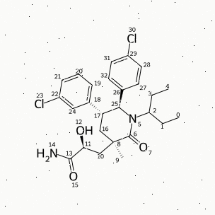 CCC(CC)N1C(=O)[C@@](C)(C[C@H](O)C(N)=O)C[C@H](c2cccc(Cl)c2)[C@H]1c1ccc(Cl)cc1